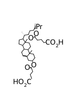 CC(C)CCC(OC(=O)CCCC(=O)O)[C@@H](C)C1CCC2C3CC=C4CC(OC(=O)CCCC(=O)O)CCC4(C)C3CCC21C